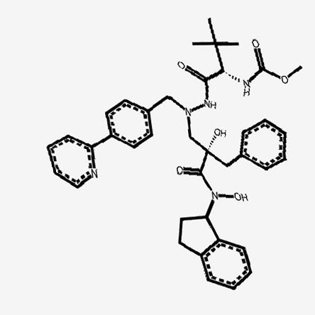 COC(=O)N[C@H](C(=O)NN(Cc1ccc(-c2ccccn2)cc1)C[C@@](O)(Cc1ccccc1)C(=O)N(O)C1CCc2ccccc21)C(C)(C)C